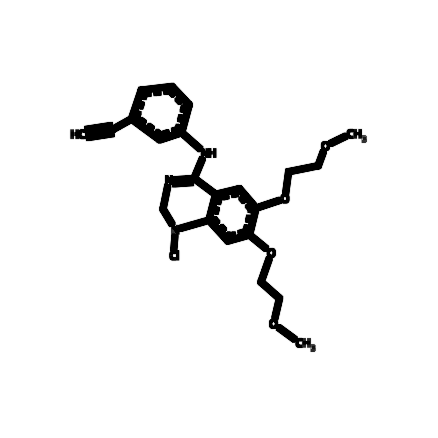 C#Cc1cccc(NC2=NCN(Cl)c3cc(OCCOC)c(OCCOC)cc32)c1